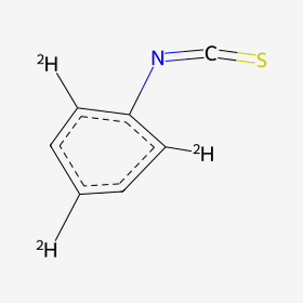 [2H]c1cc([2H])c(N=C=S)c([2H])c1